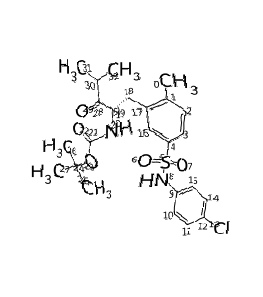 Cc1ccc(S(=O)(=O)Nc2ccc(Cl)cc2)cc1C[C@H](NC(=O)OC(C)(C)C)C(=O)C(C)C